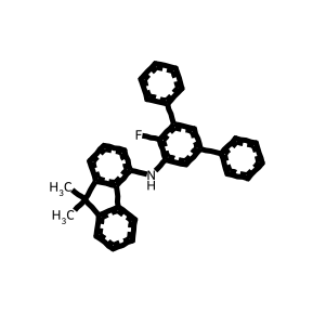 CC1(C)c2ccccc2-c2c(Nc3cc(-c4ccccc4)cc(-c4ccccc4)c3F)cccc21